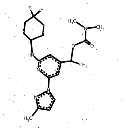 Cc1ccn(-c2cc(C(C)OC(=O)N(C)C)cc(NC3CCC(F)(F)CC3)n2)n1